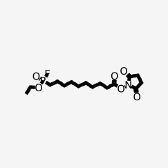 CCOP(=O)(F)CCCCCCCCCC(=O)ON1C(=O)CCC1=O